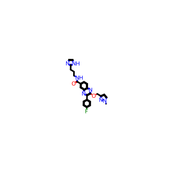 Cn1ccc(COc2nc3ccc(C(=O)NCCCc4ncc[nH]4)cc3nc2-c2ccc(F)cc2)n1